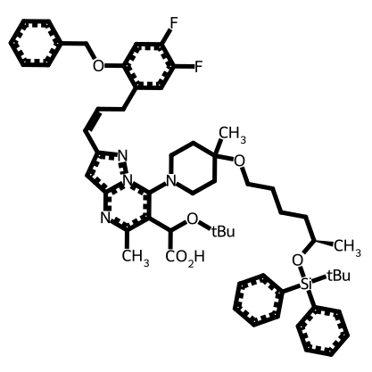 Cc1nc2cc(/C=C\Cc3cc(F)c(F)cc3OCc3ccccc3)nn2c(N2CCC(C)(OCCCC[C@@H](C)O[Si](c3ccccc3)(c3ccccc3)C(C)(C)C)CC2)c1C(OC(C)(C)C)C(=O)O